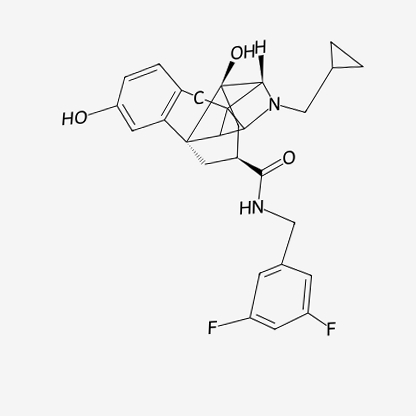 O=C(NCc1cc(F)cc(F)c1)[C@@H]1C[C@@]2(O)[C@@H]3N(CC4CC4)C4C5C43Cc3ccc(O)cc3[C@]52C1